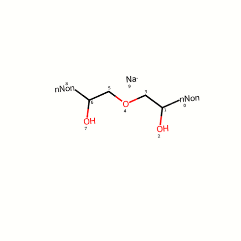 CCCCCCCCCC(O)COCC(O)CCCCCCCCC.[Na]